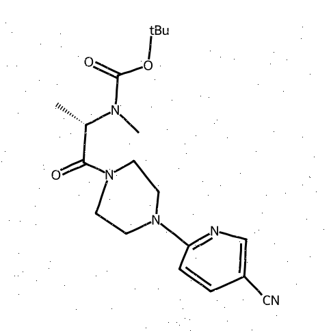 C[C@@H](C(=O)N1CCN(c2ccc(C#N)cn2)CC1)N(C)C(=O)OC(C)(C)C